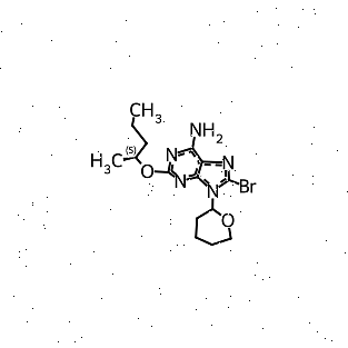 CCC[C@H](C)Oc1nc(N)c2nc(Br)n(C3CCCCO3)c2n1